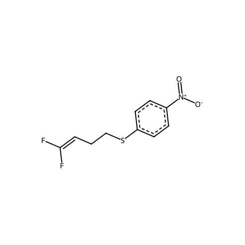 O=[N+]([O-])c1ccc(SCCC=C(F)F)cc1